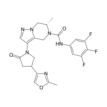 Cc1nc(C2CC(=O)N(c3cnn4c3CN(C(=O)Nc3cc(F)c(F)c(F)c3)[C@@H](C)C4)C2)co1